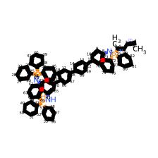 C/C=C\C=C(/C)P(=Nc1ccc(-c2ccc(-c3ccc(-c4cc(N=P(c5ccccc5)(c5ccccc5)c5ccccc5)cc(N[PH](C5=CCCC=C5)(c5ccccc5)c5ccccc5)c4)cc3)cc2)cc1)(c1ccccc1)c1ccccc1